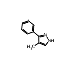 Cc1c[nH]nc1-c1c[c]ccc1